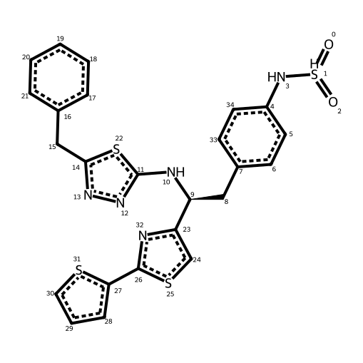 O=[SH](=O)Nc1ccc(C[C@H](Nc2nnc(Cc3ccccc3)s2)c2csc(-c3cccs3)n2)cc1